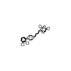 Cn1c(=O)cnn(CCCCN2CCN(c3cccc(Cl)c3Cl)CC2)c1=O